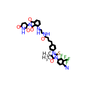 CC1(C)C(=O)N(c2ccc(C#N)c(C(F)(F)F)c2F)C(=S)N1c1ccc(CCCC(=O)NCCNc2cccc3c2C(=O)N(C2CCC(=O)NC2=O)C3=O)cc1